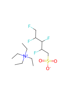 CC[N+](CC)(CC)CC.O=S(=O)([O-])CC(F)C(F)C(F)CF